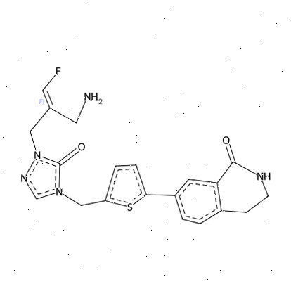 NC/C(=C\F)Cn1ncn(Cc2ccc(-c3ccc4c(c3)C(=O)NCC4)s2)c1=O